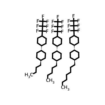 CCCCCCC[C@H]1CC[C@H](C2CCC(C(F)(F)C(F)(F)C(F)(F)F)CC2)CC1.CCCCC[C@H]1CC[C@H](C2CCC(C(F)(F)C(F)(F)C(F)(F)F)CC2)CC1.CCCC[C@H]1CC[C@H](C2CCC(C(F)(F)C(F)(F)C(F)(F)F)CC2)CC1